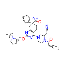 C=CC(=O)N1CCN(c2nc(OC[C@@H]3CCCN3C)nc3c2CCC2(C3)C(=O)Nc3ccccc32)CC1CC#N